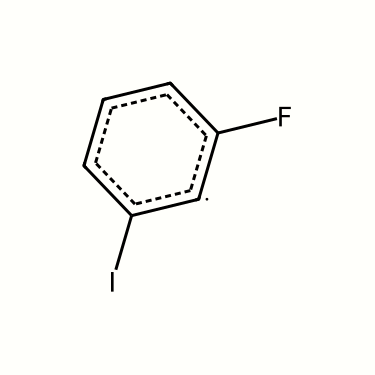 Fc1[c]c(I)ccc1